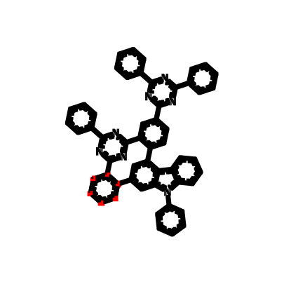 c1ccc(-c2cc(-c3ccc(-c4nc(-c5ccccc5)nc(-c5ccccc5)n4)cc3-c3nc(-c4ccccc4)nc(-c4ccccc4)n3)c3c4ccccc4n(-c4ccccc4)c3c2)cc1